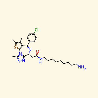 Cc1sc2c(c1C)C(c1ccc(Cl)cc1)=N[C@@H](CC(=O)NCCCCCCCCCN)c1nnc(C)n1-2